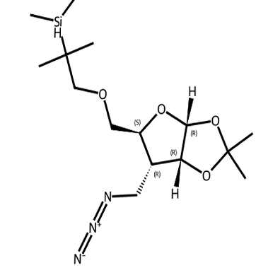 C[SiH](C)C(C)(C)COC[C@H]1O[C@@H]2OC(C)(C)O[C@@H]2[C@@H]1CN=[N+]=[N-]